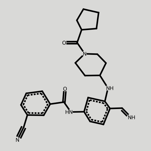 N#Cc1cccc(C(=O)Nc2ccc(C=N)c(NC3CCN(C(=O)C4CCCC4)CC3)c2)c1